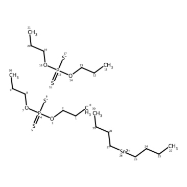 CCCOP(=S)([S-])OCCC.CCCOP(=S)([S-])OCCC.CCC[CH2][Sn+2][CH2]CCC